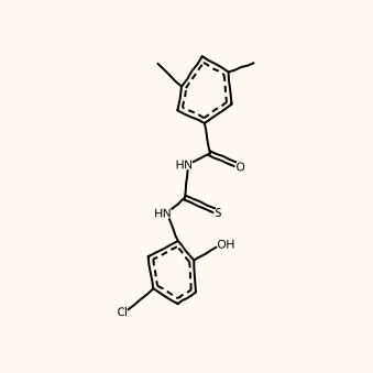 Cc1cc(C)cc(C(=O)NC(=S)Nc2cc(Cl)ccc2O)c1